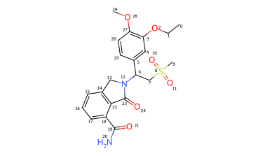 CCOc1cc(C(CS(C)(=O)=O)N2Cc3cccc(C(N)=O)c3C2=O)ccc1OC